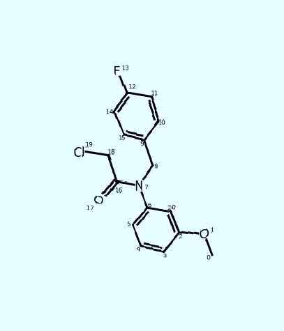 COc1cccc(N(Cc2ccc(F)cc2)C(=O)CCl)c1